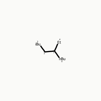 CCCCC([CH]C(C)CC)CC